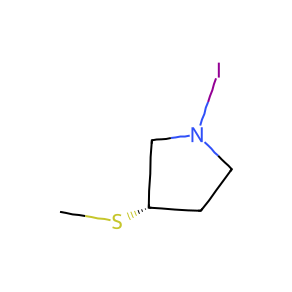 CS[C@H]1CCN(I)C1